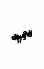 O=C(NCc1ncco1)c1csc(CCNCc2nc3ccccc3[nH]2)n1